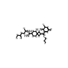 CCC=C=C(C1=CC(F)=CC(C)C1N)C1CC2(CCC(C(=N)NC(C)CCC(I)CC)CC2)C1